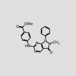 COC(=O)c1ccc(Nc2ncc3c(=O)n(C)n(-c4ccccc4)c3n2)cc1